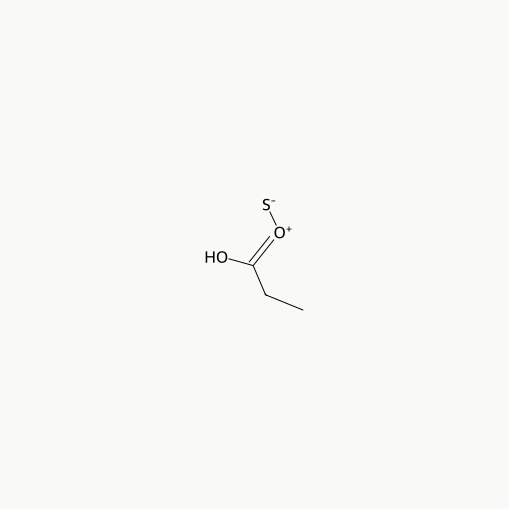 CCC(O)=[O+][S-]